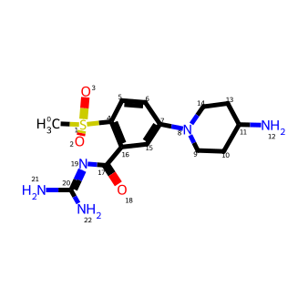 CS(=O)(=O)c1ccc(N2CCC(N)CC2)cc1C(=O)N=C(N)N